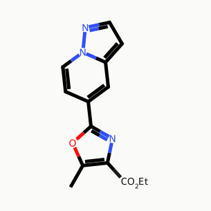 CCOC(=O)c1nc(-c2ccn3nccc3c2)oc1C